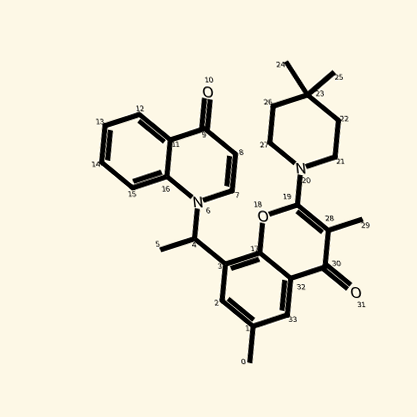 Cc1cc(C(C)n2ccc(=O)c3ccccc32)c2oc(N3CCC(C)(C)CC3)c(C)c(=O)c2c1